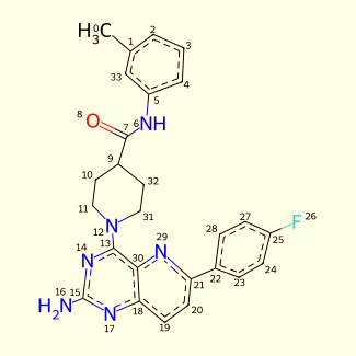 Cc1cccc(NC(=O)C2CCN(c3nc(N)nc4ccc(-c5ccc(F)cc5)nc34)CC2)c1